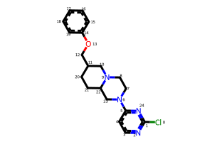 Clc1nccc(N2CCN3CC(COc4ccccc4)CCC3C2)n1